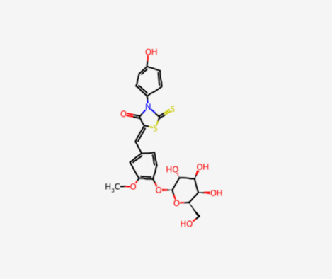 COc1cc(/C=C2\SC(=S)N(c3ccc(O)cc3)C2=O)ccc1O[C@@H]1O[C@H](CO)[C@H](O)[C@H](O)[C@H]1O